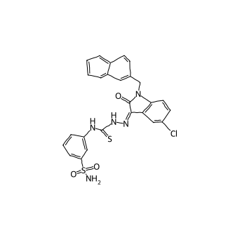 NS(=O)(=O)c1cccc(NC(=S)NN=C2C(=O)N(Cc3ccc4ccccc4c3)c3ccc(Cl)cc32)c1